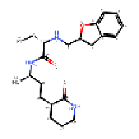 CC(C)C[C@H](NCC1Cc2ccccc2O1)C(=O)N[C@H](C#N)CC[C@@H]1CCCNC1=O